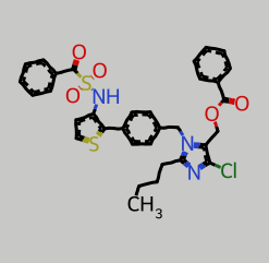 CCCCc1nc(Cl)c(COC(=O)c2ccccc2)n1Cc1ccc(-c2sccc2NS(=O)(=O)C(=O)c2ccccc2)cc1